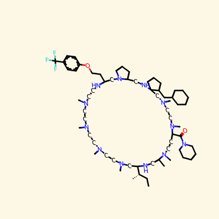 CC[C@H](C)C1CN(C)CCN(C)CCN(C)CCN(C)CCNC(CCOc2ccc(C(F)(F)F)cc2)CN2CCCC2CNC2(CCCC2CC2CCCCC2)CN(C)CCN(C)C(C(=O)N2CCCCC2)CCN(C)C(C)CN1